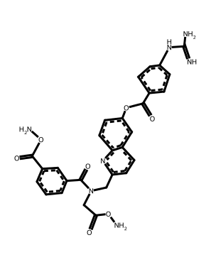 N=C(N)Nc1ccc(C(=O)Oc2ccc3nc(CN(CC(=O)ON)C(=O)c4cccc(C(=O)ON)c4)ccc3c2)cc1